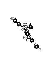 N#Cc1ccc(-c2ccc(CC(NC(=O)C3Cc4cc5c(cc4CN3C(=O)c3ccccc3)OC(c3ccc(OCc4ccc(Cl)cc4)cc3)C(=O)N5)C(=O)O)cc2)cc1